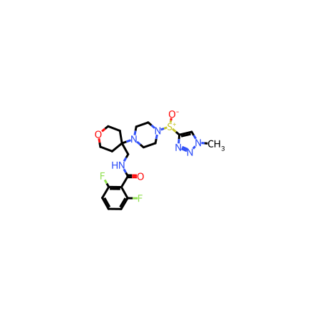 Cn1cc([S+]([O-])N2CCN(C3(CNC(=O)c4c(F)cccc4F)CCOCC3)CC2)nn1